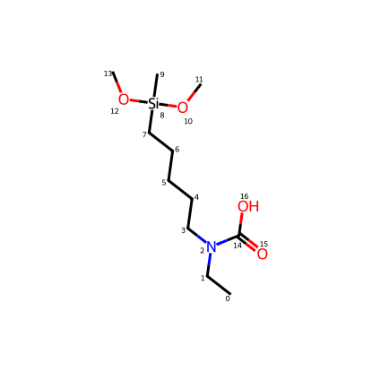 CCN(CCCCC[Si](C)(OC)OC)C(=O)O